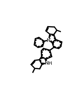 CC1C=Cc2c([nH]c3cc(-c4cccc5c6c(n(-c7ccccc7)c45)C=CCC6C)ccc23)C1